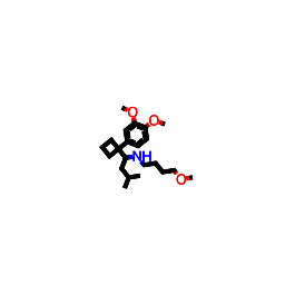 COCCCCNC(CC(C)C)C1(c2ccc(OC)c(OC)c2)CCC1